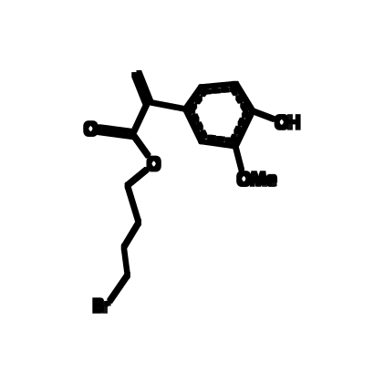 C=C(C(=O)OCCCCBr)c1ccc(O)c(OC)c1